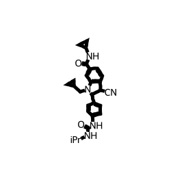 CC(C)NC(=O)Nc1ccc(C2C(C#N)c3ccc(C(=O)NC4CC4)cc3N2CC2CC2)cc1